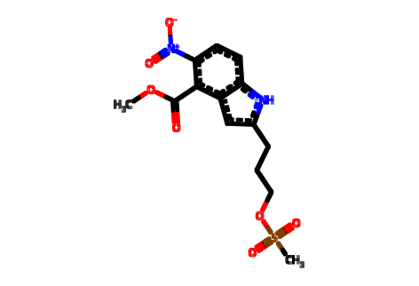 COC(=O)c1c([N+](=O)[O-])ccc2[nH]c(CCCOS(C)(=O)=O)cc12